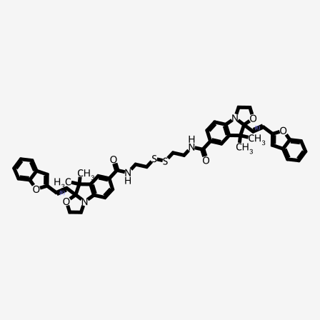 CC1(C)c2cc(C(=O)NCCSSCCNC(=O)c3ccc4c(c3)C(C)(C)C3(/C=C/c5cc6ccccc6o5)OCCN43)ccc2N2CCOC21/C=C/c1cc2ccccc2o1